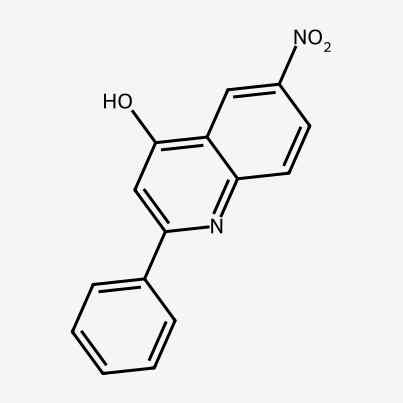 O=[N+]([O-])c1ccc2nc(-c3ccccc3)cc(O)c2c1